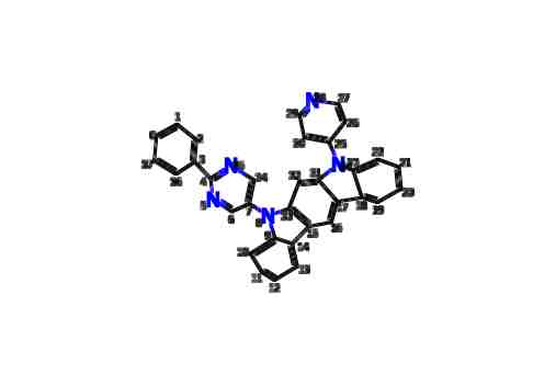 c1ccc(-c2ncc(-n3c4ccccc4c4cc5c6ccccc6n(-c6ccncc6)c5cc43)cn2)cc1